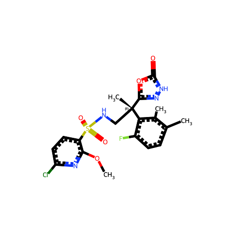 COc1nc(Cl)ccc1S(=O)(=O)NC[C@](C)(c1n[nH]c(=O)o1)c1c(F)ccc(C)c1C